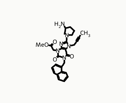 CC#CCn1c(N2CCCC(N)C2)nc2c1c(=O)n(Cc1cccc3ccccc13)c(=O)n2CC(=O)OC